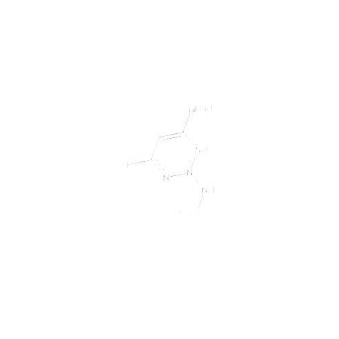 CCCCCNN1N=C(Cl)C=C(CCCCC)N1